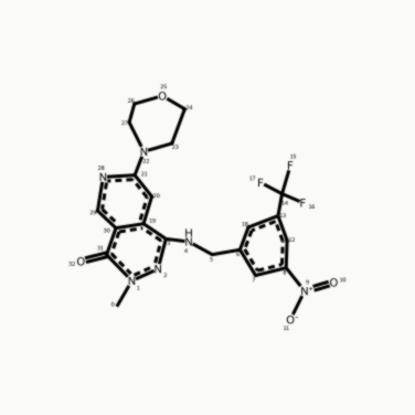 Cn1nc(NCc2cc([N+](=O)[O-])cc(C(F)(F)F)c2)c2cc(N3CCOCC3)ncc2c1=O